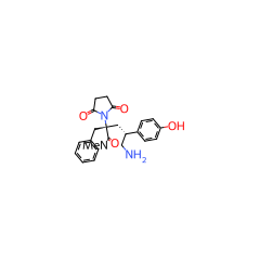 CNC(=O)[C@@](Cc1ccccc1)(C[C@@H](CN)c1ccc(O)cc1)N1C(=O)CCC1=O